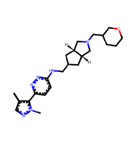 Cc1cnn(C)c1-c1ccc(NCC2C[C@@H]3CN(CC4CCCOC4)C[C@@H]3C2)nn1